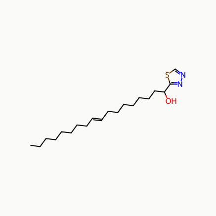 CCCCCCCCC=CCCCCCCCC(O)c1nncs1